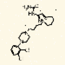 NC(=O)NC1=N[N+]2(CCCCN3CCN(c4cccc(Cl)c4Cl)CC3)CCCCC2=C1